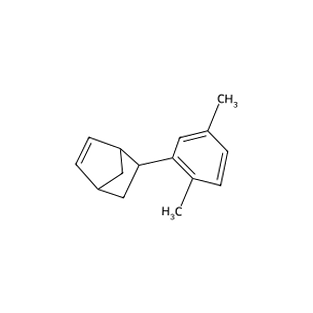 Cc1ccc(C)c(C2CC3C=CC2C3)c1